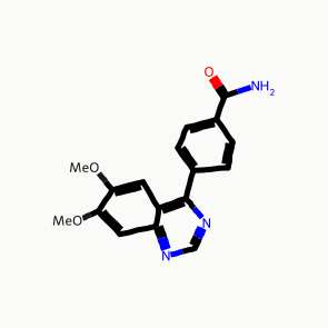 COc1cc2ncnc(-c3ccc(C(N)=O)cc3)c2cc1OC